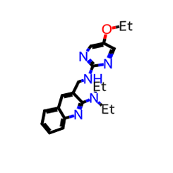 CCOc1cnc(NCc2cc3ccccc3nc2N(CC)CC)nc1